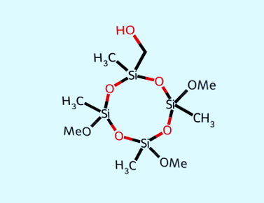 CO[Si]1(C)O[Si](C)(CO)O[Si](C)(OC)O[Si](C)(OC)O1